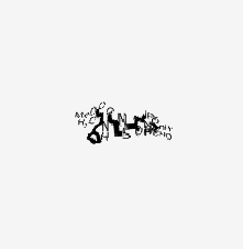 CCC[C@H](NC=O)C(=O)NC(CC(OC(C)=O)c1nc(C(=O)NC(Cc2ccccc2)C[C@H](C)C(=O)OC)cs1)C(C)C